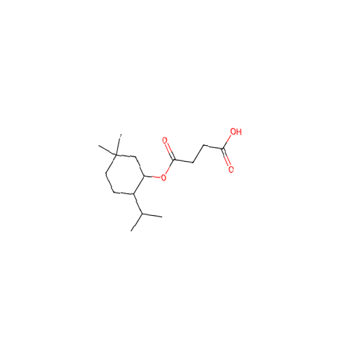 CC(C)C1CCC(C)(C)CC1OC(=O)CCC(=O)O